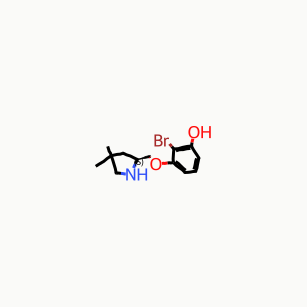 CC1(C)CN[C@H](COc2cccc(O)c2Br)C1